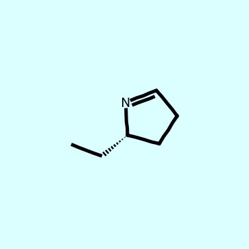 CC[C@H]1CCC=N1